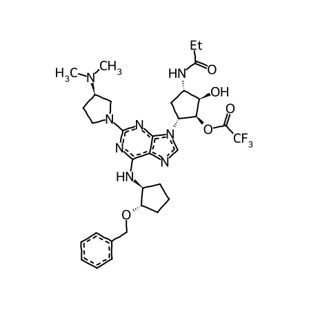 CCC(=O)N[C@H]1C[C@@H](n2cnc3c(N[C@H]4CCC[C@@H]4OCc4ccccc4)nc(N4CC[C@@H](N(C)C)C4)nc32)[C@H](OC(=O)C(F)(F)F)[C@@H]1O